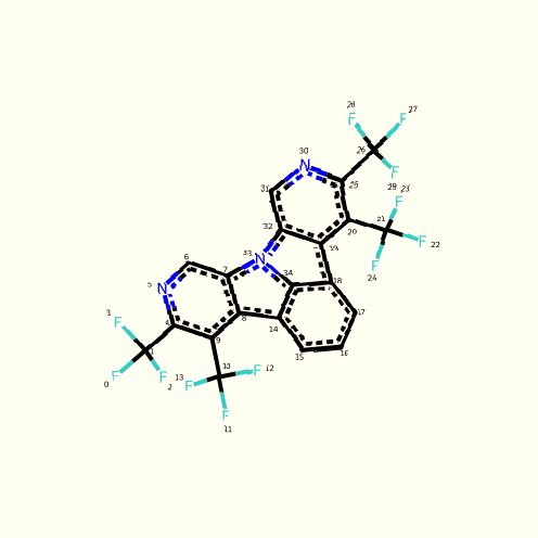 FC(F)(F)c1ncc2c(c1C(F)(F)F)c1cccc3c4c(C(F)(F)F)c(C(F)(F)F)ncc4n2c13